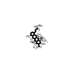 C[C@H]1c2c(/C=C/C(=O)NC(C)(C)C)ccc(O)c2C(=O)C2=C(O)[C@]3(O)C(=O)C(C(N)=O)=C(O)[C@H](N(C)C)[C@@H]3[C@@H](O)[C@@H]21